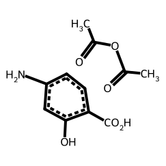 CC(=O)OC(C)=O.Nc1ccc(C(=O)O)c(O)c1